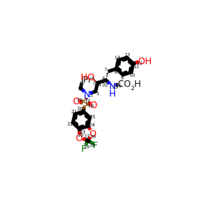 CC(C)CN(C[C@H](O)[C@H](Cc1ccc(O)cc1)NC(=O)O)S(=O)(=O)c1ccc2c(c1)OC(F)(F)O2